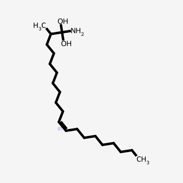 CCCCCCCC/C=C\CCCCCCCCC(C)C(N)(O)O